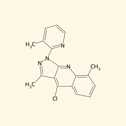 Cc1cccnc1-n1nc(C)c2c(Cl)c3cccc(C)c3nc21